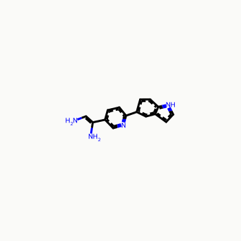 N/C=C(\N)c1ccc(-c2ccc3[nH]ccc3c2)nc1